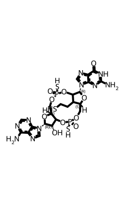 Nc1nc2c(ncn2[C@@H]2O[C@@H]3COP(=O)(S)OC4[C@@H](COP(=O)(S)OC2C3CCS)O[C@@H](n2cnc3c(N)ncnc32)[C@H]4O)c(=O)[nH]1